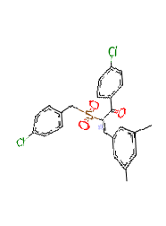 Cc1cc(C)cc(/C=C(\C(=O)c2ccc(Cl)cc2)S(=O)(=O)Cc2ccc(Cl)cc2)c1